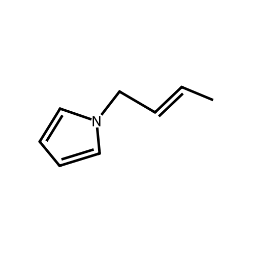 CC=CCn1cccc1